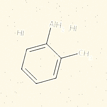 Cc1cccc[c]1[AlH2].I.I